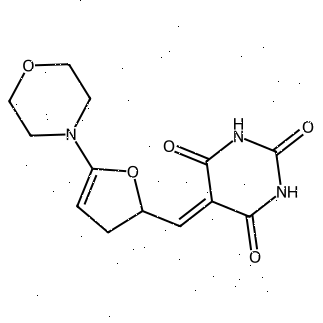 O=C1NC(=O)C(=CC2CC=C(N3CCOCC3)O2)C(=O)N1